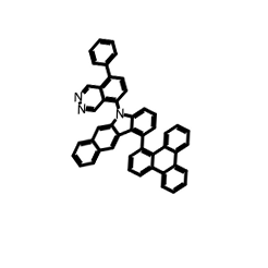 c1ccc(-c2ccc(-n3c4cc5ccccc5cc4c4c(-c5cccc6c7ccccc7c7ccccc7c56)cccc43)c3cnncc23)cc1